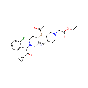 CCOC(=O)CN1CCC(/C=C2/CN(C(C(=O)C3CC3)c3ccccc3F)CCC2SC(C)=O)CC1